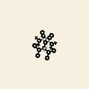 CC(C)(C)c1cc(N2c3cc4ccccc4cc3B3c4cc5ccccc5cc4N(c4cc(C(C)(C)C)cc(C(C)(C)C)c4)c4cc(-c5cc(-c6cc(-c7ccccc7)cc(-c7ccccc7)c6)nc(-c6cc(-c7ccccc7)cc(-c7ccccc7)c6)n5)cc2c43)cc(C(C)(C)C)c1